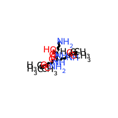 CC(C)(C)OC(=O)C[C@H](N)C(=O)N[C@@H](CCCCNC(=O)OC(C)(C)C)C(=O)N[C@@H](CCCCN)C(=O)O